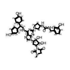 CN1CC(=O)N([C@H]2C[C@@H](n3cnc4c(NCC(c5ccc(O)cc5)c5ccc(O)cc5)nc(N5CC[C@@H](NC(=O)NCc6cccc(O)c6)C5)nc43)[C@H](O)[C@@H]2O)C1=O